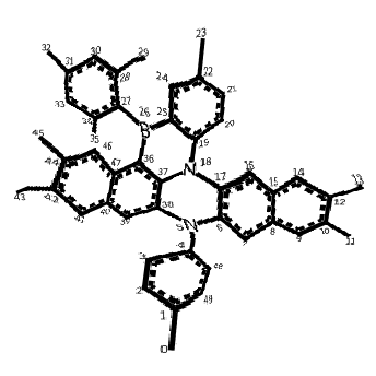 Cc1ccc(N2c3cc4cc(C)c(C)cc4cc3N3c4ccc(C)cc4B(c4c(C)cc(C)cc4C)c4c3c2cc2cc(C)c(C)cc42)cc1